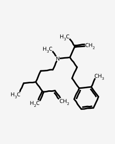 C=CC(=C)C(CC)CCN(C)C(CCc1ccccc1C)C(=C)C